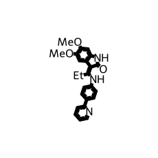 CC/C(Nc1ccc(-c2ccccn2)cc1)=C1/C(=O)Nc2cc(OC)c(OC)cc21